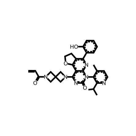 C=CC(=O)N1CC2(C1)CN(c1nc(=O)n(-c3c(C)ccnc3C(C)C)c3nc(-c4ccccc4O)c4c(c13)OCC4)C2